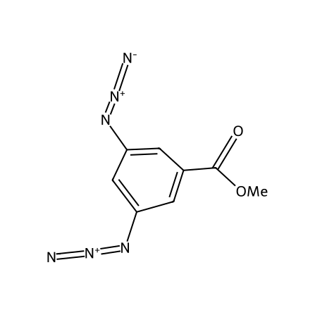 COC(=O)c1cc(N=[N+]=[N-])cc(N=[N+]=[N-])c1